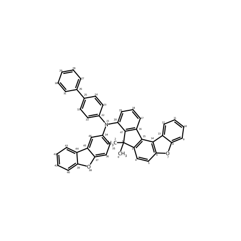 CC1(C)c2ccc3oc4ccccc4c3c2-c2cccc(N(c3ccc(-c4ccccc4)cc3)c3ccc4oc5ccccc5c4c3)c21